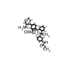 C=CC(=O)Nc1cccc(C(C)(C)c2ccccc2Nc2ccc(N3CCOC[C@H]3CN)cc2OC)c1